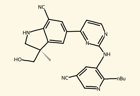 CCCCc1ncc(C#N)cc1Nc1nccc(-c2cc(C#N)c3c(c2)[C@@](C)(CO)CN3)n1